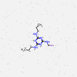 CCCNc1nc(NCI)nc(NCCC)n1